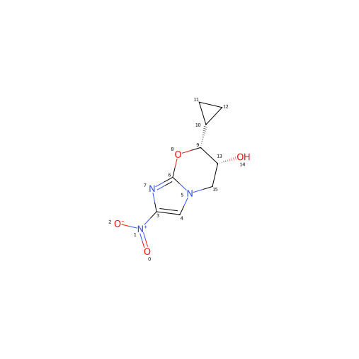 O=[N+]([O-])c1cn2c(n1)O[C@H](C1CC1)[C@H](O)C2